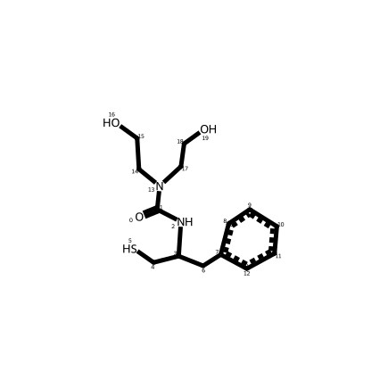 O=C(NC(CS)Cc1ccccc1)N(CCO)CCO